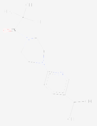 CC(C)c1ccc(N2CCN(C(=O)C(C)(C)C)CC2)nc1